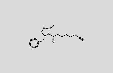 C#CCCCCCC(=O)N1C(=O)OC[C@H]1Cc1ccccc1